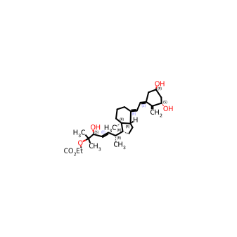 C=C1/C(=C\C=C2/CCC[C@]3(C)[C@@H]([C@H](C)/C=C/[C@H](O)C(C)(C)OC(=O)OCC)CC[C@@H]23)C[C@@H](O)C[C@@H]1O